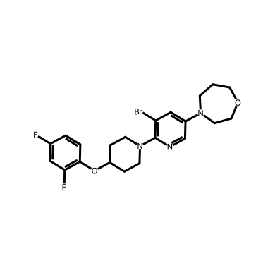 Fc1ccc(OC2CCN(c3ncc(N4CCCOCC4)cc3Br)CC2)c(F)c1